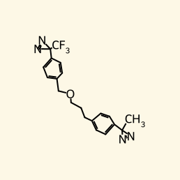 CC1(c2ccc(CCCOCc3ccc(C4(C(F)(F)F)N=N4)cc3)cc2)N=N1